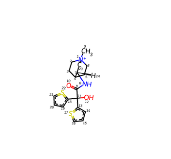 C[N+]12CCC(CC1)[C@@H](NC(=O)C(O)(c1cccs1)c1cccs1)C2